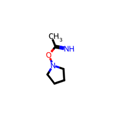 CC(=N)ON1CCCC1